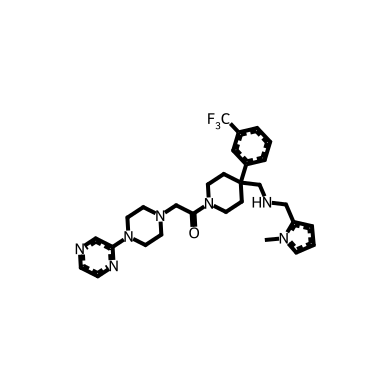 Cn1cccc1CNCC1(c2cccc(C(F)(F)F)c2)CCN(C(=O)CN2CCN(c3cnccn3)CC2)CC1